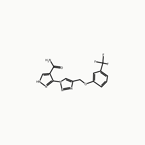 NC(=O)c1c[nH]nc1-n1cc(COc2cccc(C(F)(F)F)c2)nn1